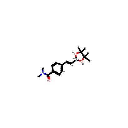 CN(C)C(=O)c1ccc(C=CB2OC(C)(C)C(C)(C)O2)cc1